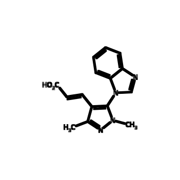 Cc1nn(C)c(-n2cnc3ccccc32)c1C=CC(=O)O